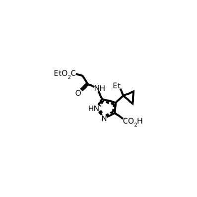 CCOC(=O)CC(=O)Nc1[nH]nc(C(=O)O)c1C1(CC)CC1